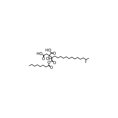 CCCCCCCC(=O)OC(=O)C(CCCCCCCCCCCC(C)C)C(O)(CC(=O)O)C(=O)O